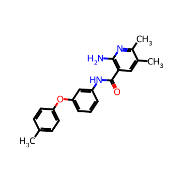 Cc1ccc(Oc2cccc(NC(=O)c3cc(C)c(C)nc3N)c2)cc1